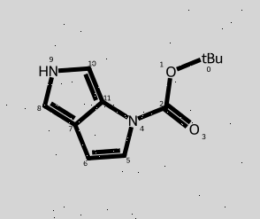 CC(C)(C)OC(=O)n1ccc2c[nH]cc21